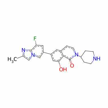 Cc1cn2cc(-c3cc(O)c4c(=O)n(C5CCNCC5)ccc4c3)cc(F)c2n1